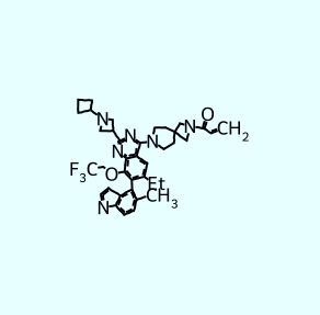 C=CC(=O)N1CC2(CCN(c3nc(C4CN(C5CCC5)C4)nc4c(OCC(F)(F)F)c(-c5c(C)ccc6c5C=C=N6)c(CC)cc34)CC2)C1